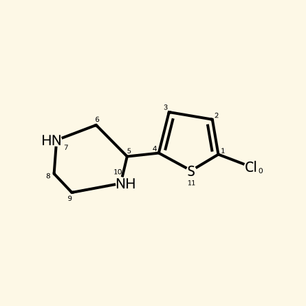 Clc1ccc(C2CNCCN2)s1